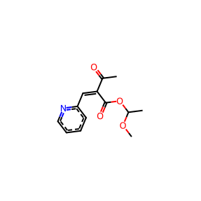 COC(C)OC(=O)C(=Cc1ccccn1)C(C)=O